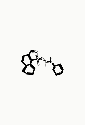 O=Cc1ccc2ccccc2c1S(=O)(=O)ONNc1ccccc1